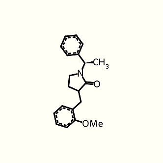 COc1ccccc1CC1CCN([C@H](C)c2ccccc2)C1=O